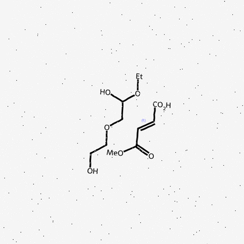 CCOC(O)COCCO.COC(=O)/C=C/C(=O)O